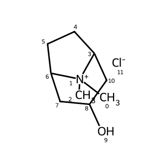 C[N+]1(C)C2CCC1CC(O)C2.[Cl-]